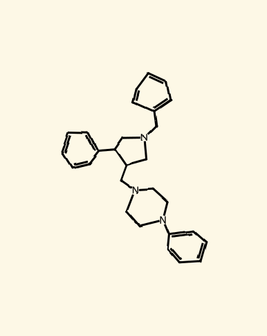 c1ccc(CN2CC(CN3CCN(c4ccccc4)CC3)C(c3ccccc3)C2)cc1